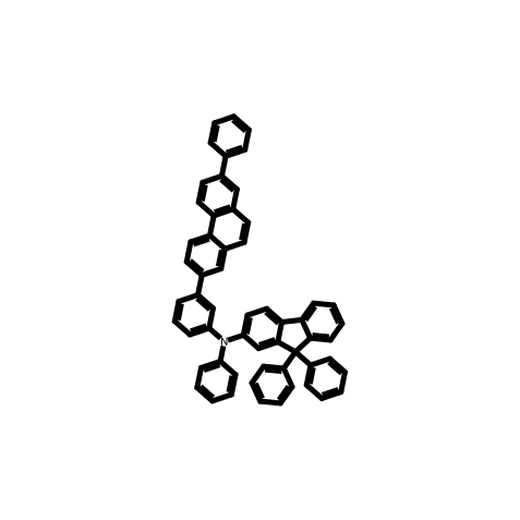 c1ccc(-c2ccc3c(ccc4cc(-c5cccc(N(c6ccccc6)c6ccc7c(c6)C(c6ccccc6)(c6ccccc6)c6ccccc6-7)c5)ccc43)c2)cc1